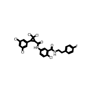 O=C(NCCc1ccc(F)cc1)c1cc(NC(=O)C2C(c3cc(Cl)cc(Cl)c3)C2(Cl)Cl)ccc1Cl